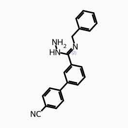 N#Cc1ccc(-c2cccc(/C(=N/Cc3ccccc3)NN)c2)cc1